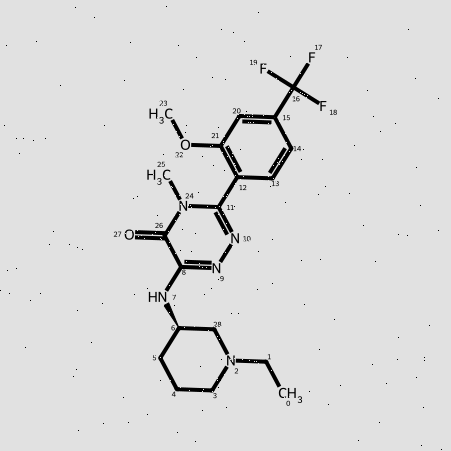 CCN1CCC[C@@H](Nc2nnc(-c3ccc(C(F)(F)F)cc3OC)n(C)c2=O)C1